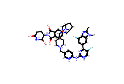 Cc1nc2c(F)cc(-c3nc(Nc4ccc(CN5CCC(CN6CC7CCC(C6)N7c6ccc7c(c6)C(=O)N(C6CCC(=O)NC6=O)C7=O)CC5)cn4)ncc3F)cc2n1C(C)C